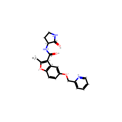 Cc1oc2ccc(OCc3ccccn3)cc2c1C(=O)NC1CCNC1=O